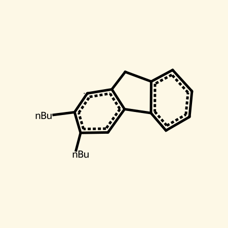 CCCCc1[c]c2c(cc1CCCC)-c1ccccc1C2